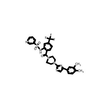 Cc1ccc(-c2csc(N3CCN(C(=O)c4ccc(C(F)(F)F)cc4NS(=O)(=O)c4cccnc4)CC3)n2)cc1C